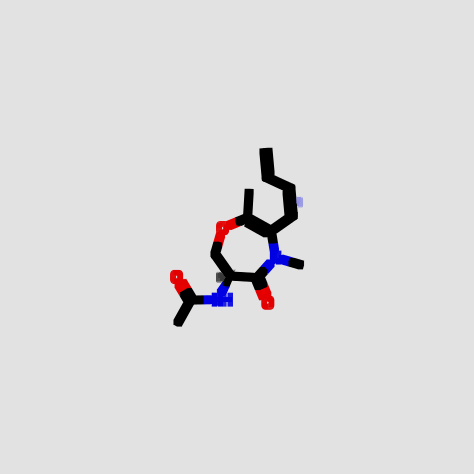 C=C/C=C\C1=C(C)OC[C@H](NC(C)=O)C(=O)N1C